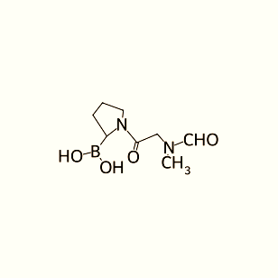 CN(C=O)CC(=O)N1CCCC1B(O)O